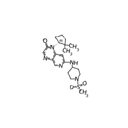 CC1(C)CCC[C@H]1n1c(=O)cnc2cnc(NC3CCN(S(C)(=O)=O)CC3)cc21